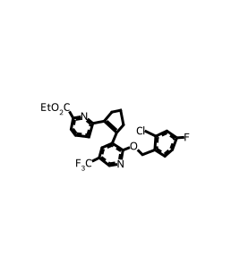 CCOC(=O)c1cccc(C2=C(c3cc(C(F)(F)F)cnc3OCc3ccc(F)cc3Cl)CCC2)n1